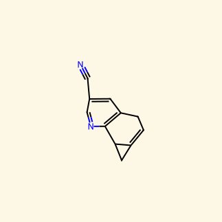 N#Cc1cnc2c(c1)CC=C1CC12